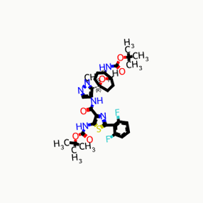 Cn1ncc(NC(=O)c2nc(-c3c(F)cccc3F)sc2NC(=O)OC(C)(C)C)c1[C@@]12CC[C@@H](NC(=O)OC(C)(C)C)[C@@H](CC1)O2